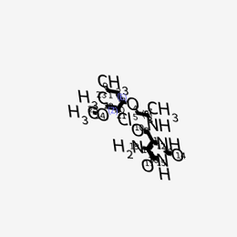 CC/C=C(OC[C@@H](C)NC(=O)c1[nH]c(=O)[nH]c(=O)c1N)\C(Cl)=C(/C)OC